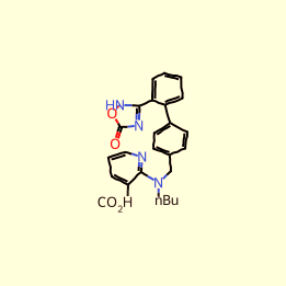 CCCCN(Cc1ccc(-c2ccccc2-c2nc(=O)o[nH]2)cc1)c1ncccc1C(=O)O